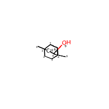 CC12CCC(C)(CC1)C(O)C2